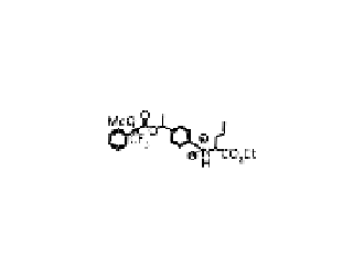 C=CCC(NS(=O)(=O)c1ccc(C(C)OC(=O)[C@](OC)(c2ccccc2)C(F)(F)F)cc1)C(=O)OCC